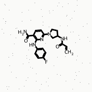 C=CC(=O)NC1CCN(c2ccc(C(N)=O)c(Nc3ccc(F)cc3)n2)C1